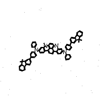 CN1c2cc(N(c3ccccc3)c3ccc(-c4ccc5c(c4)C(C)(C)c4ccccc4-5)cc3)ccc2-c2ccc3c4c(ccc1c24)N(C)c1cc(N(c2ccccc2)c2ccc(-c4ccc5c(c4)C(C)(C)c4ccccc4-5)cc2)ccc1-3